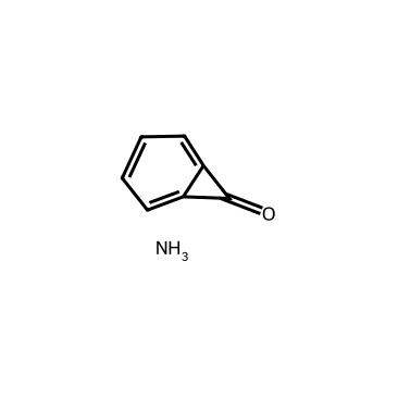 N.O=c1c2ccccc12